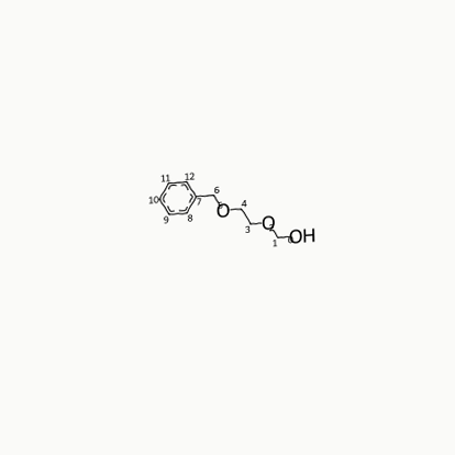 OCOCCOCc1ccccc1